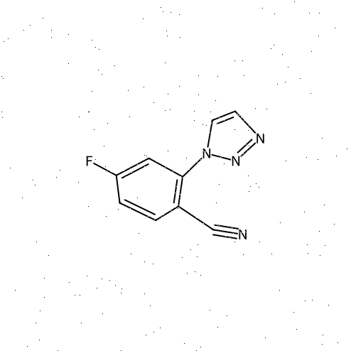 N#Cc1ccc(F)cc1-n1ccnn1